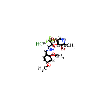 COc1ccc(CNCC(Oc2c(Br)cnc(C)c2Br)C(F)(F)F)c(OC)c1.Cl